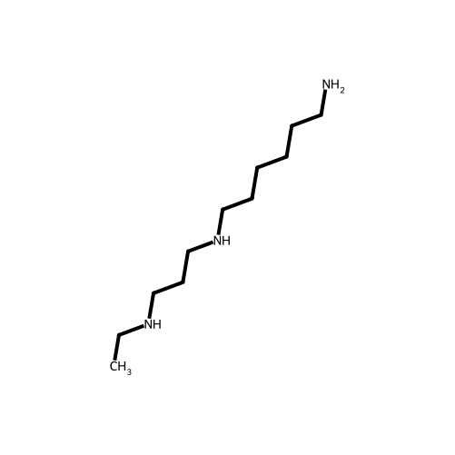 CCNCCCNCCCCCCN